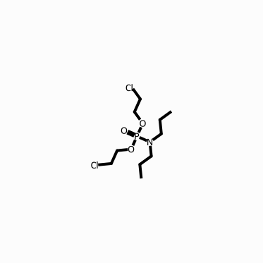 CCCN(CCC)P(=O)(OCCCl)OCCCl